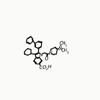 CN(C)C1CCN(C(=O)Cn2c(-c3cccc(-c4ccccc4)c3)c(C3CCCCC3)c3ccc(C(=O)O)cc32)CC1